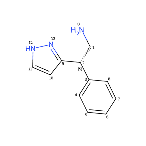 NC[C@H](c1ccccc1)c1cc[nH]n1